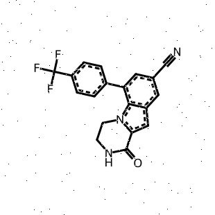 N#Cc1cc(-c2ccc(C(F)(F)F)cc2)c2c(c1)cc1n2CCNC1=O